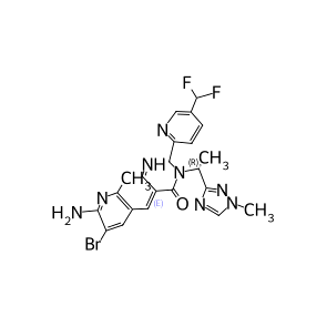 Cc1nc(N)c(Br)cc1/C=C(\C=N)C(=O)N(Cc1ccc(C(F)F)cn1)[C@H](C)c1ncn(C)n1